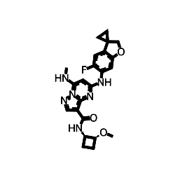 CNc1cc(Nc2cc3c(cc2F)C2(CC2)CO3)nc2c(C(=O)N[C@@H]3CC[C@H]3OC)cnn12